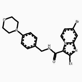 CCc1nc2cc(Br)ccn2c1C(=O)NCc1ccc(N2CCOCC2)cc1